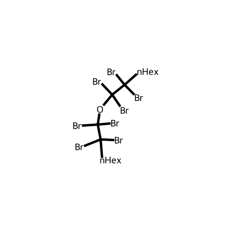 CCCCCCC(Br)(Br)C(Br)(Br)OC(Br)(Br)C(Br)(Br)CCCCCC